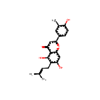 CC(C)=CCc1c(O)cc2oc(-c3ccc(O)c(C)c3)cc(=O)c2c1O